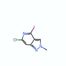 Cn1cc2c(I)nc(Cl)cc2n1